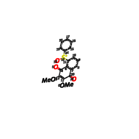 COC1=C(OC)C(=O)c2c(cccc2[S+]([O-])c2ccccc2)C1=O